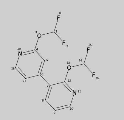 FC(F)Oc1cc(-c2cccnc2OC(F)F)ccn1